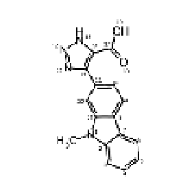 Cn1c2ccccc2c2ccc(-c3nn[nH]c3C(=O)O)cc21